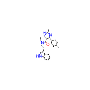 CCN(CCc1c[nH]c2ccccc12)C(=O)c1cnc(C)nc1-c1ccc(C)c(C)c1